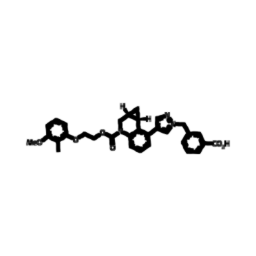 COc1cccc(OCCOC(=O)N2C[C@@H]3C[C@@H]3c3c(-c4cnn(Cc5cccc(C(=O)O)c5)c4)cccc32)c1C